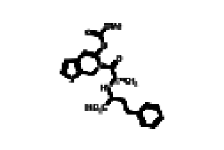 CCOC(=O)C(CCc1ccccc1)N[C@@H](C)C(=O)N1Cc2sccc2C=C1OC(=O)OC